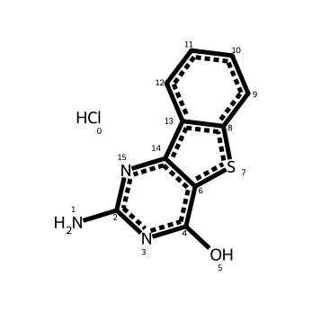 Cl.Nc1nc(O)c2sc3ccccc3c2n1